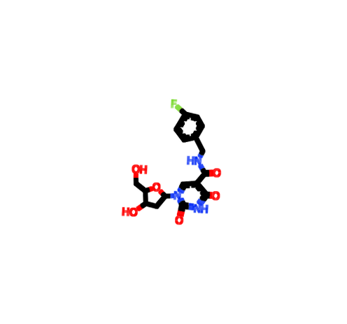 O=C(NCc1ccc(F)cc1)c1cn(C2CC(O)C(CO)O2)c(=O)[nH]c1=O